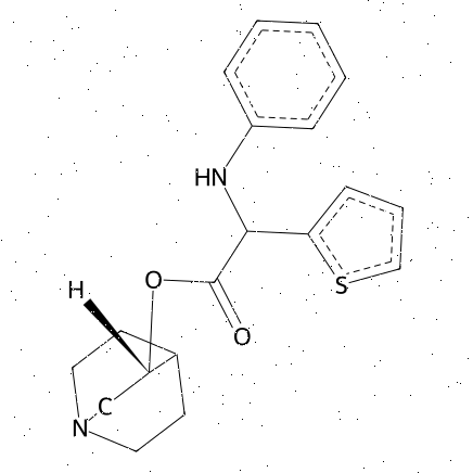 O=C(O[C@H]1CN2CCC1CC2)C(Nc1ccccc1)c1cccs1